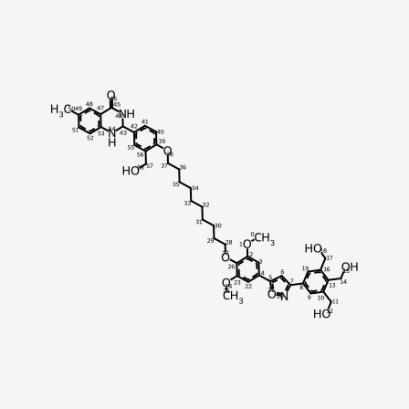 COc1cc(-c2cc(-c3cc(CO)c(CO)c(CO)c3)no2)cc(OC)c1OCCCCCCCCCCOc1ccc(C2NC(=O)c3cc(C)ccc3N2)cc1CO